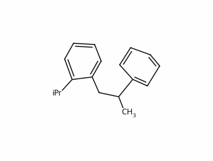 CC(C)c1ccccc1CC(C)c1ccccc1